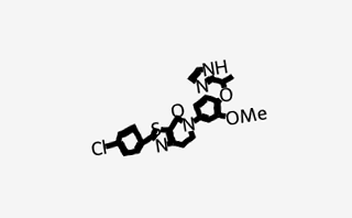 COc1cc(N2CCc3nc(-c4ccc(Cl)cc4)sc3C2=O)ccc1OC(C)c1ncc[nH]1